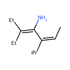 C/C=C(\C(N)=C(CC)CC)C(C)C